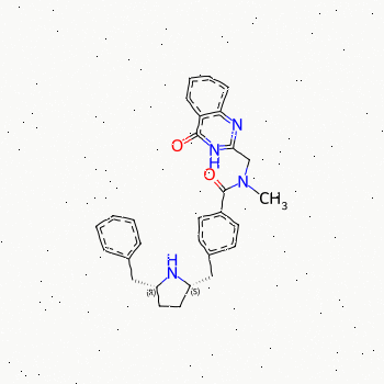 CN(Cc1nc2ccccc2c(=O)[nH]1)C(=O)c1ccc(C[C@@H]2CC[C@H](Cc3ccccc3)N2)cc1